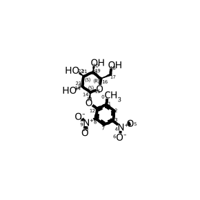 Cc1cc([N+](=O)[O-])cc([N+](=O)[O-])c1O[C@@H]1O[C@H](CO)[C@H](O)[C@H](O)[C@H]1O